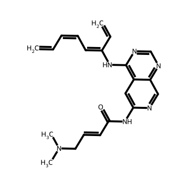 C=C/C=C\C=C(/C=C)Nc1ncnc2cnc(NC(=O)/C=C/CN(C)C)cc12